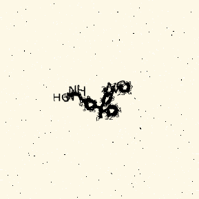 CCC(=C(c1ccc(C=CC(N)=NO)cc1)c1ccc2c(cnn2C2CCCCO2)c1)c1ccccc1